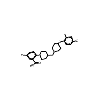 Cc1cc(Cl)ccc1OC1CCN(CC2CCN(c3ccc(Cl)cc3C(=O)O)CC2)CC1